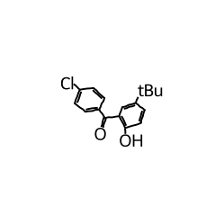 CC(C)(C)c1ccc(O)c(C(=O)c2ccc(Cl)cc2)c1